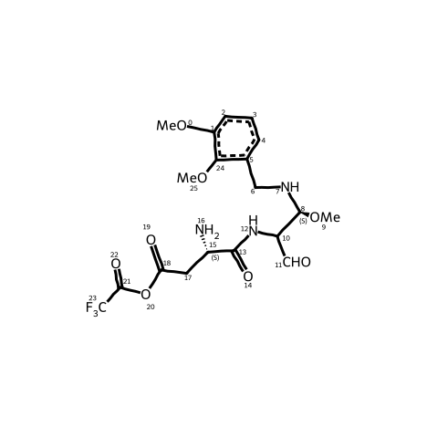 COc1cccc(CN[C@@H](OC)C(C=O)NC(=O)[C@@H](N)CC(=O)OC(=O)C(F)(F)F)c1OC